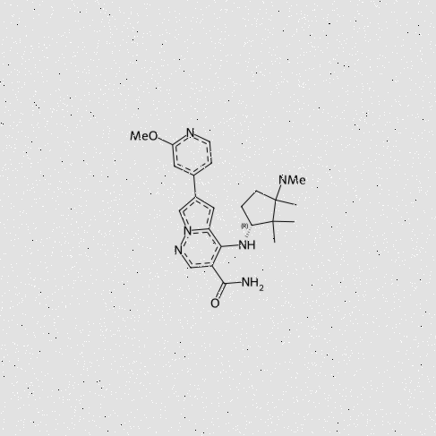 CNC1(C)CC[C@@H](Nc2c(C(N)=O)cnn3cc(-c4ccnc(OC)c4)cc23)C1(C)C